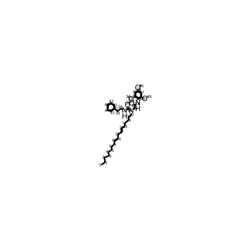 CCCCCCCCC=CCCCCCCCCN(CC(=O)Nc1c(OC)cc(OC)cc1OC)C(=O)NCCc1ccccc1